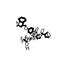 Cc1cc(COc2ccc(S(=O)(=O)C[C@H]3[C@@H](C(=O)NO)CCN3C(=O)C3CCOC3)cc2)c2ccccc2n1.O=C(O)C(F)(F)F